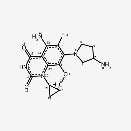 COc1c(N2CCC(N)C2)c(F)c(N)c2c(=O)[nH]c(=O)n(C3CC3)c12